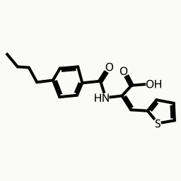 CCCCc1ccc(C(=O)NC(=Cc2cccs2)C(=O)O)cc1